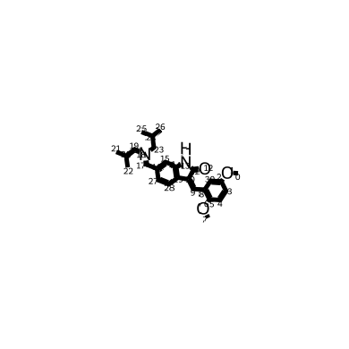 COc1ccc(OC)c(C=C2C(=O)Nc3cc(CN(CC(C)C)CC(C)C)ccc32)c1